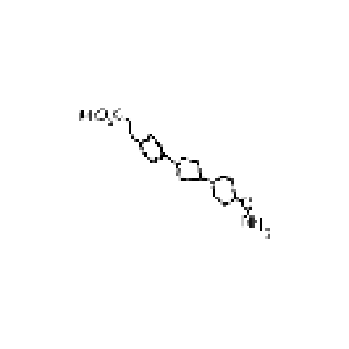 NOC1CCC(C2CCC(c3ccc(C=CC(=O)O)cc3)CC2)CC1